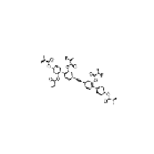 C=CC(=O)Oc1cc(OC(=O)C(=C)C)ccc1-c1ccc(C#Cc2ccc(-c3ccc(OC(=O)C(=C)C)cc3)c(OC(=O)C(=C)F)c2)cc1OC(=O)C(=C)F